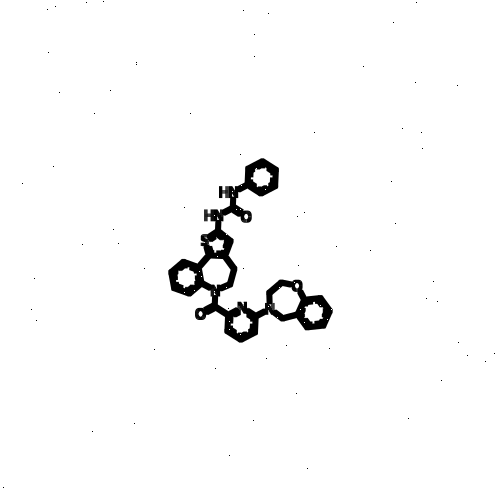 O=C(Nc1ccccc1)Nc1cc2c(s1)-c1ccccc1N(C(=O)c1cccc(N3CCOc4ccccc4C3)n1)CC2